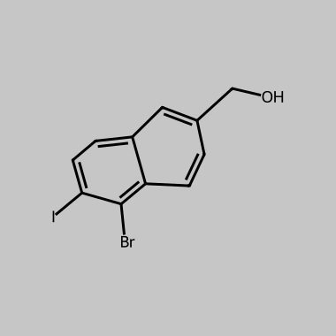 OCc1ccc2c(Br)c(I)ccc2c1